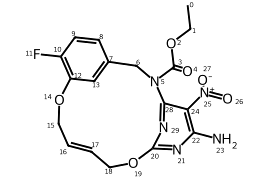 CCOC(=O)N1Cc2ccc(F)c(c2)OC/C=C/COc2nc(N)c([N+](=O)[O-])c1n2